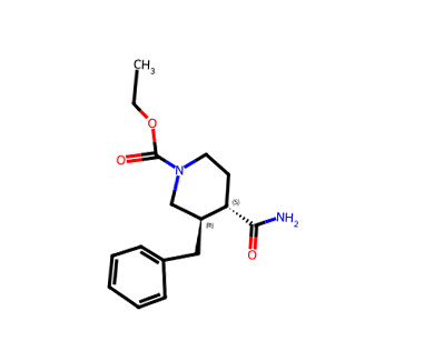 CCOC(=O)N1CC[C@H](C(N)=O)[C@@H](Cc2ccccc2)C1